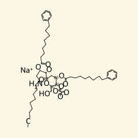 CCCCCCCCCCCCC(OC(=O)CCCCCCCCc1ccccc1)C(=O)[C@@]1(ON)C[C@H](OC(=O)CCCCCCCCc2ccccc2)[C@H](OS(=O)(=O)[O-])[C@@H](CO)O1.[Na+]